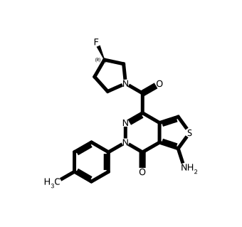 Cc1ccc(-n2nc(C(=O)N3CC[C@@H](F)C3)c3csc(N)c3c2=O)cc1